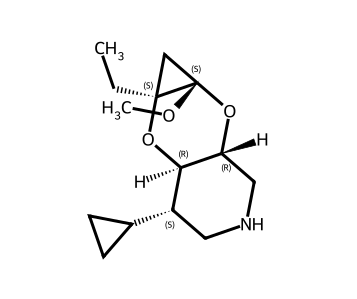 CC[C@]12C[C@]1(OC)O[C@@H]1CNC[C@H](C3CC3)[C@H]1O2